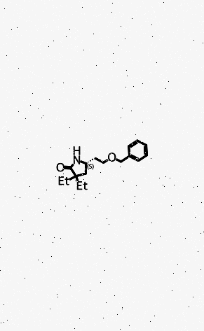 CCC1(CC)C[C@@H](CCOCc2ccccc2)NC1=O